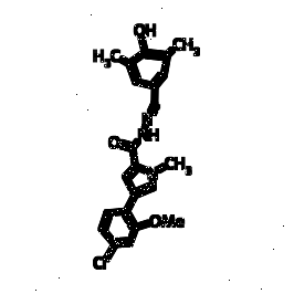 COc1cc(Cl)ccc1-c1cc(C(=O)N/N=C/c2cc(C)c(O)c(C)c2)n(C)c1